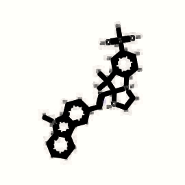 Cn1c2ccccc2c2cc(/C=C/C34OCCN3c3ccc(S(C)(=O)=O)cc3C4(C)C)ccc21